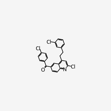 O=C(c1ccc(Cl)cc1)c1ccc2nc(Cl)cc(CCc3cccc(Cl)c3)c2c1